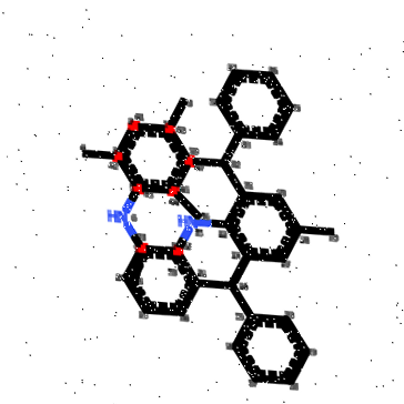 Cc1cc(C)c(NC(C)C(C)Nc2c(C(c3ccccc3)c3ccccc3)cc(C)cc2C(c2ccccc2)c2ccccc2)c(C)c1